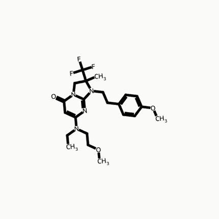 CCN(CCOC)c1cc(=O)n2c(n1)N(CCc1ccc(OC)cc1)C(C)(C(F)(F)F)C2